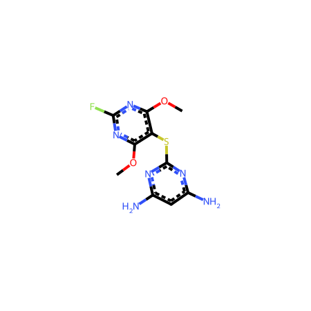 COc1nc(F)nc(OC)c1Sc1nc(N)cc(N)n1